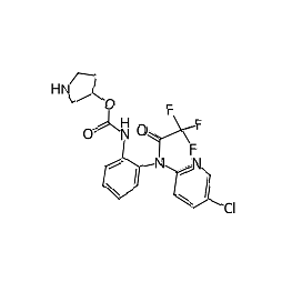 O=C(Nc1ccccc1N(C(=O)C(F)(F)F)c1ccc(Cl)cn1)OC1CCNC1